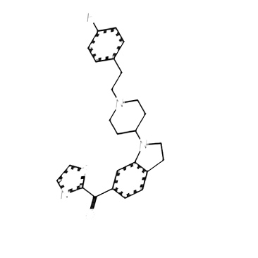 O=C(c1ccc2c(c1)N(C1CCN(CCc3ccc(F)cc3)CC1)CC2)c1nccs1